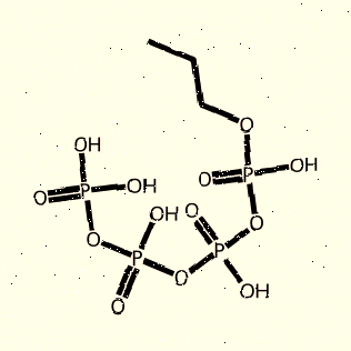 CCCOP(=O)(O)OP(=O)(O)OP(=O)(O)OP(=O)(O)O